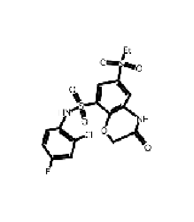 CCS(=O)(=O)c1cc2c(c(S(=O)(=O)Nc3ccc(F)cc3Cl)c1)OCC(=O)N2